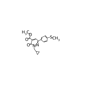 COC(=O)c1cc(-c2ccc(SC)cc2)nn(CC2CC2)c1=O